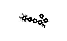 [2H]c1c([2H])c([2H])c(-c2ccc(-c3ccc(-c4cc5c6c(c4)nc(CC)n6-c4ccccc4N5c4ccccc4)cc3)cc2)c([2H])c1[2H]